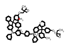 CCC1(COc2ccc(C3(c4cc(C)ccc4C)c4ccccc4-c4ccc(N(c5ccccc5)c5ccc(-c6ccc(N(c7ccccc7)c7ccc8c(c7)C(c7ccc(OCC9(CC)COC9)cc7)(c7cc(C)ccc7C)c7ccccc7-8)cc6)cc5)cc43)cc2)COC1